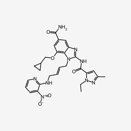 CCn1nc(C)cc1C(=O)Nc1nc2cc(C(N)=O)cc(OCC3CC3)c2n1C/C=C/CNc1ncccc1[N+](=O)[O-]